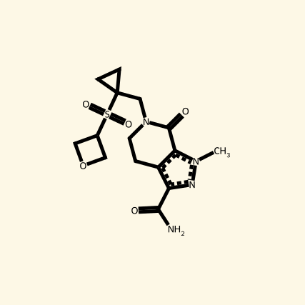 Cn1nc(C(N)=O)c2c1C(=O)N(CC1(S(=O)(=O)C3COC3)CC1)CC2